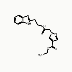 CCOC(=O)c1cnn(CC(=O)NCCc2nc3ccccc3[nH]2)c1